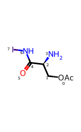 CC(=O)OC[C@H](N)C(=O)NI